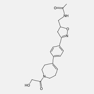 CC(=O)NCC1CC(c2ccc(C3=CCCN(C(=O)CO)CC3)cc2)=NO1